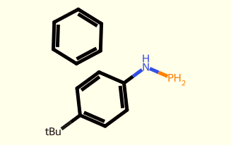 CC(C)(C)c1ccc(NP)cc1.c1ccccc1